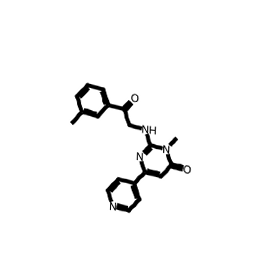 Cc1cccc(C(=O)CNc2nc(-c3ccncc3)cc(=O)n2C)c1